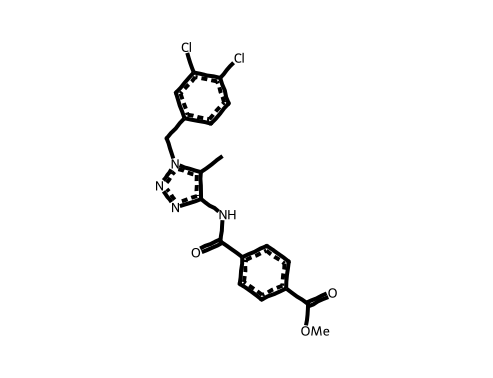 COC(=O)c1ccc(C(=O)Nc2nnn(Cc3ccc(Cl)c(Cl)c3)c2C)cc1